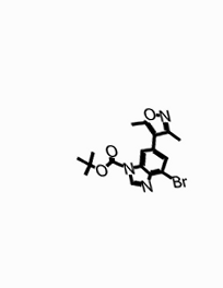 Cc1noc(C)c1-c1cc(Br)c2ncn(C(=O)OC(C)(C)C)c2c1